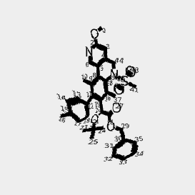 COc1cc2c(cn1)-c1c(C)c(-c3ccc(C)cc3)c([C@H](OC(C)(C)C)C(=O)OCc3ccccc3)c(C)c1N(S(C)(=O)=O)C2